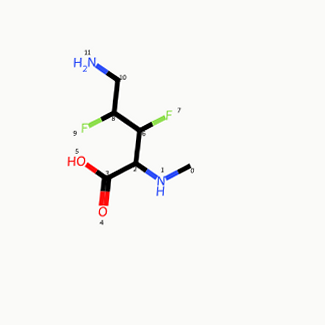 CNC(C(=O)O)C(F)C(F)CN